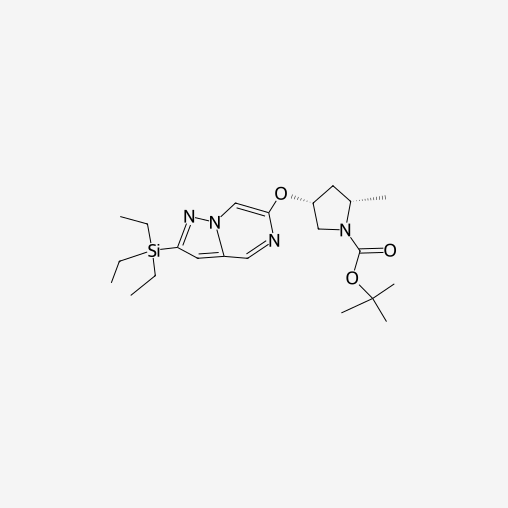 CC[Si](CC)(CC)c1cc2cnc(O[C@@H]3C[C@H](C)N(C(=O)OC(C)(C)C)C3)cn2n1